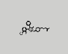 C=C(C)CCCC1CCC(CN2N=C(c3cccc(Cl)c3F)C(c3ccccc3)C2C)CC1